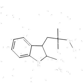 CCNC(C)(C)CC1c2ccccc2NC1C